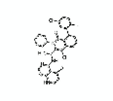 C[C@H](Nc1ncnc2[nH]ccc(=O)c12)c1c(Cl)c2cccc(-c3cc(Cl)ccc3F)c2c(=O)n1-c1ccccc1